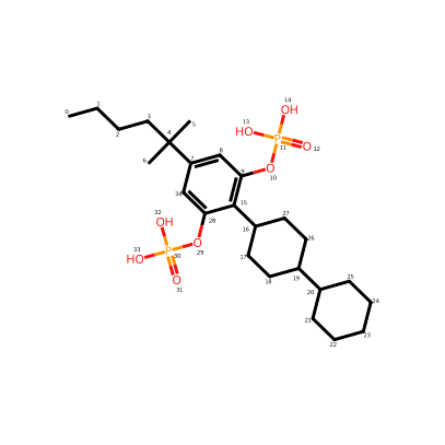 CCCCC(C)(C)c1cc(OP(=O)(O)O)c(C2CCC(C3CCCCC3)CC2)c(OP(=O)(O)O)c1